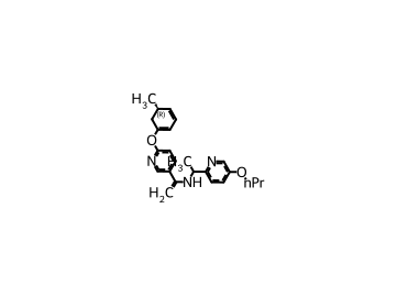 C=C(NC(C)c1ccc(OCCC)cn1)c1ccc(OC2=CC=C[C@H](C)C2)nc1